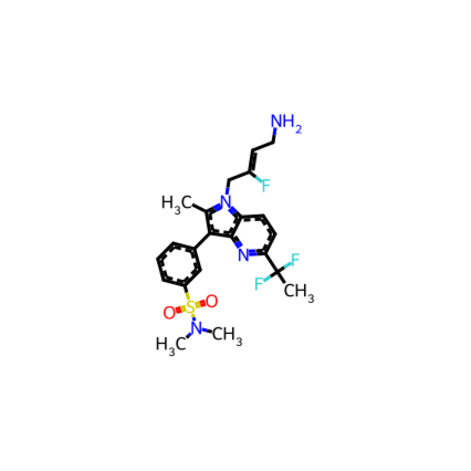 Cc1c(-c2cccc(S(=O)(=O)N(C)C)c2)c2nc(C(C)(F)F)ccc2n1CC(F)=CCN